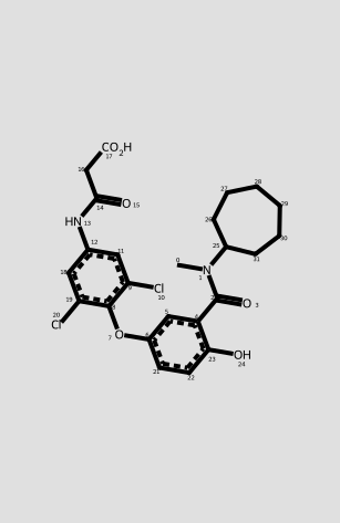 CN(C(=O)c1cc(Oc2c(Cl)cc(NC(=O)CC(=O)O)cc2Cl)ccc1O)C1CCCCCC1